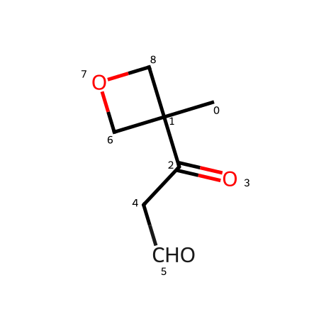 CC1(C(=O)CC=O)COC1